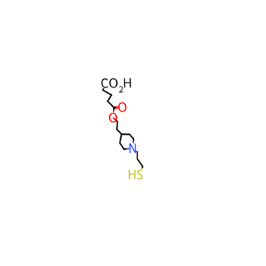 O=C(O)CCCC(=O)OCCC1CCN(CCCS)CC1